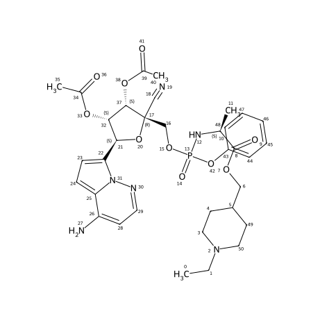 CCN1CCC(COC(=O)[C@H](C)NP(=O)(OC[C@@]2(C#N)O[C@@H](c3ccc4c(N)ccnn34)[C@H](OC(C)=O)[C@@H]2OC(C)=O)Oc2ccccc2)CC1